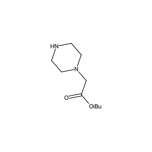 CC(C)COC(=O)CN1CCNCC1